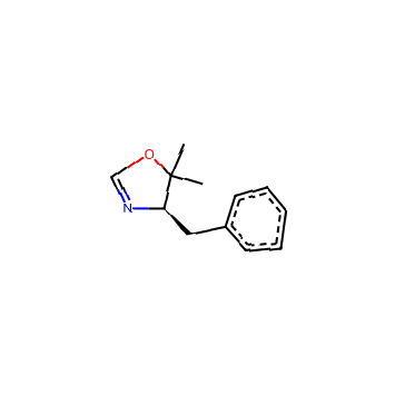 CC1(C)OC=N[C@@H]1Cc1ccccc1